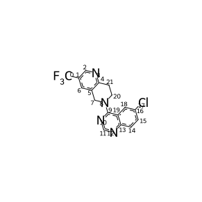 FC(F)(F)c1cnc2c(c1)CN(c1ncnc3ccc(Cl)cc13)CC2